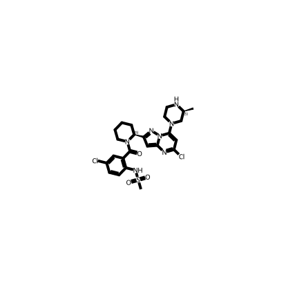 C[C@H]1CN(c2cc(Cl)nc3cc([C@@H]4CCCCN4C(=O)c4cc(Cl)ccc4NS(C)(=O)=O)nn23)CCN1